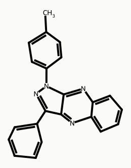 Cc1ccc(-n2nc(-c3ccccc3)c3nc4ccccc4nc32)cc1